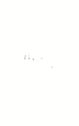 [O].[P].[Th].[V]